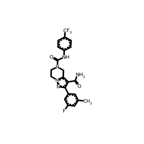 Cc1cc(F)cc(-c2nn3c(c2C(N)=O)CN(C(=O)Nc2ccc(C(F)(F)F)cc2)CC3)c1